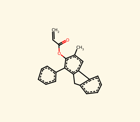 C=CC(=O)Oc1c(C)cc2c(c1-c1ccccc1)Cc1ccccc1-2